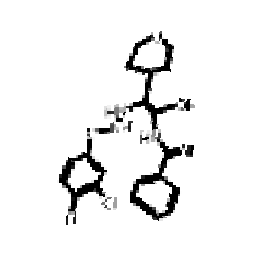 N=C(NC(O)C(NNOc1ccc(Cl)c(Cl)c1)C1CCOCC1)c1ccccc1